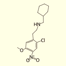 COc1cc(CCNCC2CCCCC2)c(Cl)cc1[N+](=O)[O-]